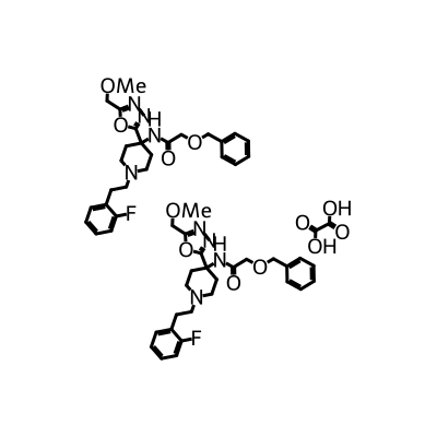 COCc1nnc(C2(NC(=O)COCc3ccccc3)CCN(CCc3ccccc3F)CC2)o1.COCc1nnc(C2(NC(=O)COCc3ccccc3)CCN(CCc3ccccc3F)CC2)o1.O=C(O)C(=O)O